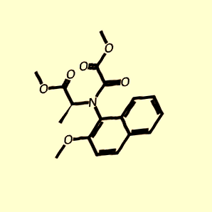 COC(=O)C(=O)N(c1c(OC)ccc2ccccc12)[C@@H](C)C(=O)OC